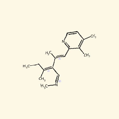 CC/C(C)=C(/C=N\C)C(\C)=C\c1nccc(C)c1C